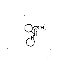 C=CC1(O)CCCCCC1CN1CCCCCC1